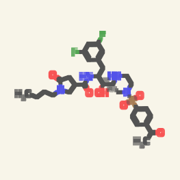 CCCCN1CC(C(=O)NC(Cc2cc(F)cc(F)c2)[C@H](O)[C@H]2CN(S(=O)(=O)c3ccc(C(C)=O)cc3)CCN2)CC1=O